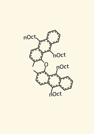 CCCCCCCCc1c2ccccc2c(CCCCCCCC)c2c(Oc3c(C)ccc4c(CCCCCCCC)c5ccccc5c(CCCCCCCC)c34)c(C)ccc12